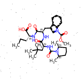 CCC[C@@H](NC(=O)[C@@H](Cc1cn(C(=O)OC)c2ccccc12)NC(=O)[C@H](CC(C)(C)C)NC(=O)N1[C@H](C)CCC[C@@H]1C)C(=O)O